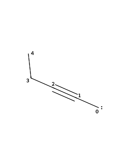 [CH]C#CCC